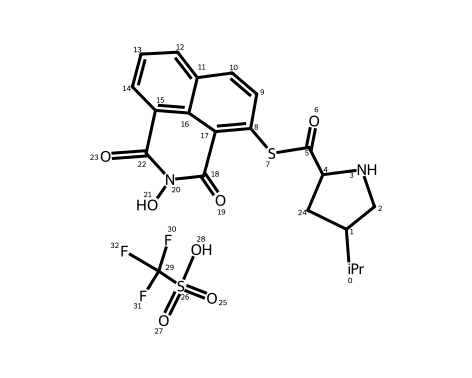 CC(C)C1CNC(C(=O)Sc2ccc3cccc4c3c2C(=O)N(O)C4=O)C1.O=S(=O)(O)C(F)(F)F